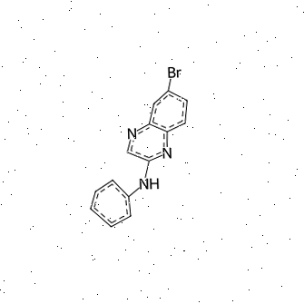 Brc1ccc2nc(Nc3ccccc3)cnc2c1